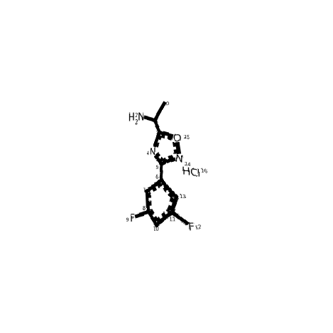 CC(N)c1nc(-c2cc(F)cc(F)c2)no1.Cl